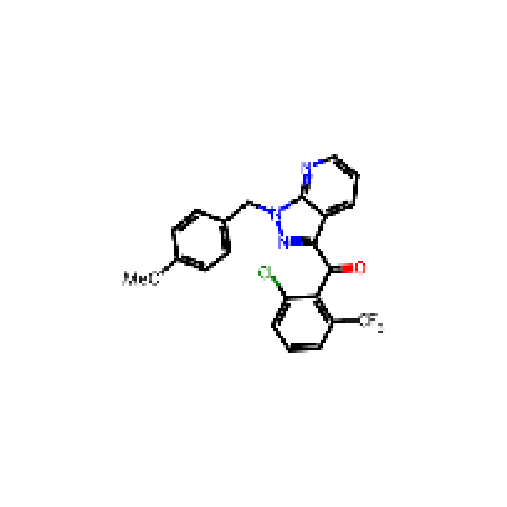 COc1ccc(Cn2nc(C(=O)c3c(Cl)cccc3C(F)(F)F)c3cccnc32)cc1